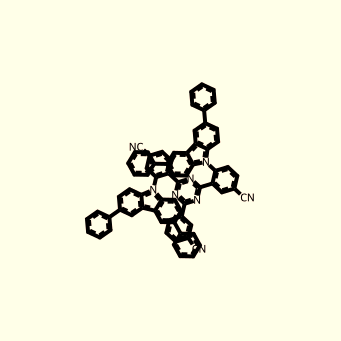 N#Cc1cccc(-c2nc(-c3cc(C#N)ccc3-n3c4ccc(-c5ccccc5)cc4c4cc(-c5ccccc5)ccc43)nc(-c3ccc(C#N)cc3-n3c4ccc(-c5ccccc5)cc4c4cc(-c5ccccc5)ccc43)n2)c1